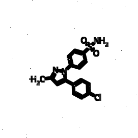 [CH2]c1cc(-c2ccc(Cl)cc2)n(-c2ccc(S(N)(=O)=O)cc2)n1